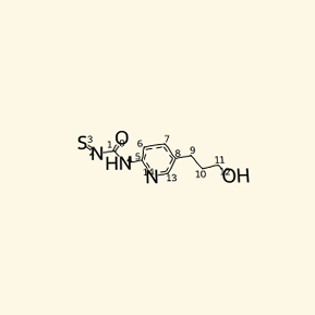 O=C(N=S)Nc1ccc(CCCO)cn1